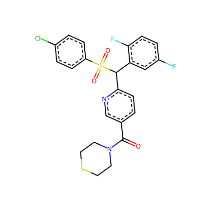 O=C(c1ccc(C(c2cc(F)ccc2F)S(=O)(=O)c2ccc(Cl)cc2)nc1)N1CCSCC1